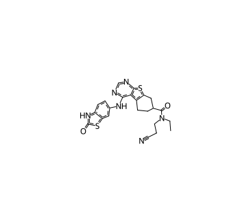 CCN(CCC#N)C(=O)C1CCc2c(sc3ncnc(Nc4ccc5[nH]c(=O)sc5c4)c23)C1